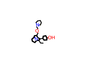 CCc1c(-c2ccc(O)cc2)c2c(COCCN3CCCCC3)cc3cccc1n32